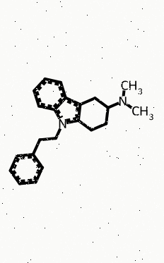 CN(C)C1CCc2c(c3ccccc3n2CCc2ccccc2)C1